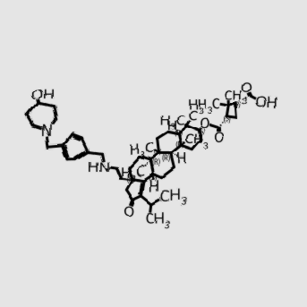 CC(C)C1=C2[C@H]3CC[C@@H]4[C@@]5(C)CC[C@H](OC(=O)[C@H]6C[C@@H](C(=O)O)C6(C)C)C(C)(C)[C@@H]5CC[C@@]4(C)[C@]3(C)CC[C@@]2(CCNCc2ccc(CN3CCC(O)CC3)cc2)CC1=O